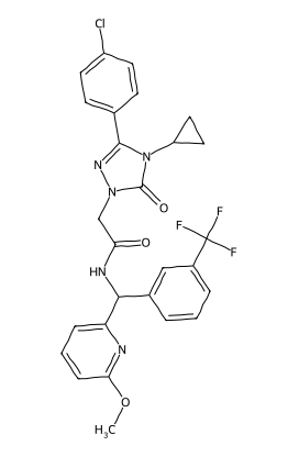 COc1cccc(C(NC(=O)Cn2nc(-c3ccc(Cl)cc3)n(C3CC3)c2=O)c2cccc(C(F)(F)F)c2)n1